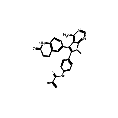 C=C(C)C(=O)Nc1ccc(-c2c(-c3ccc4c(c3)CCC(=O)N4)c3c(N)ncnc3n2C)cc1